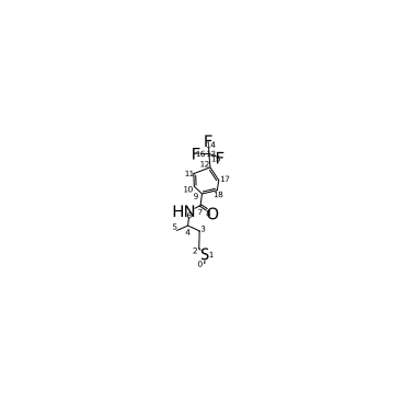 CSCCC(C)NC(=O)c1ccc(C(F)(F)F)cc1